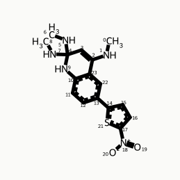 CNC1=CC(NC)(NC)Nc2ccc(-c3ccc([N+](=O)[O-])s3)cc21